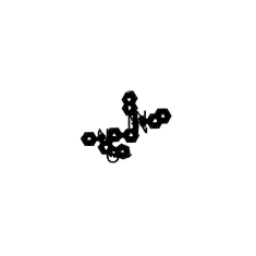 c1ccc(-c2nc3ccc(-c4cccc(-c5nc(-c6ccc7ccccc7c6)nc(-c6ccc7ccccc7c6)n5)c4)cc3c3c2ccc2oc4ccccc4c23)cc1